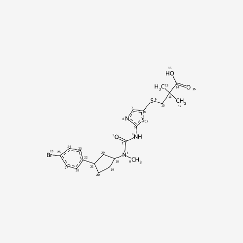 CN(C(=O)Nc1ncc(SCC(C)(C)C(=O)O)s1)C1CCC(c2ccc(Br)cc2)C1